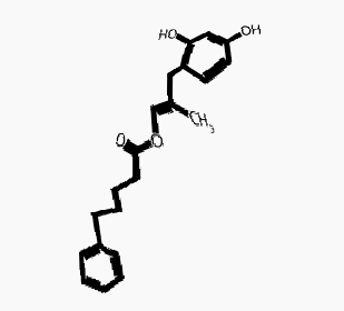 C/C(=C\OC(=O)CCCCc1ccccc1)Cc1ccc(O)cc1O